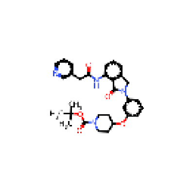 CC(C)(C)OC(=O)N1CCC(Oc2cccc(N3Cc4cccc(NC(=O)Cc5cccnc5)c4C3=O)c2)CC1